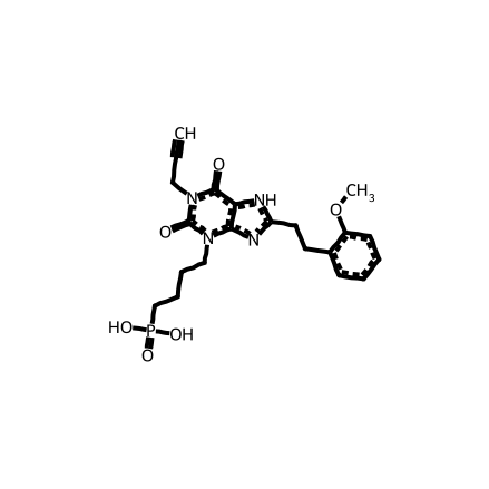 C#CCn1c(=O)c2[nH]c(CCc3ccccc3OC)nc2n(CCCCP(=O)(O)O)c1=O